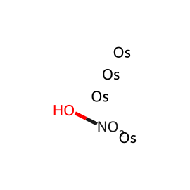 O=[N+]([O-])O.[Os].[Os].[Os].[Os]